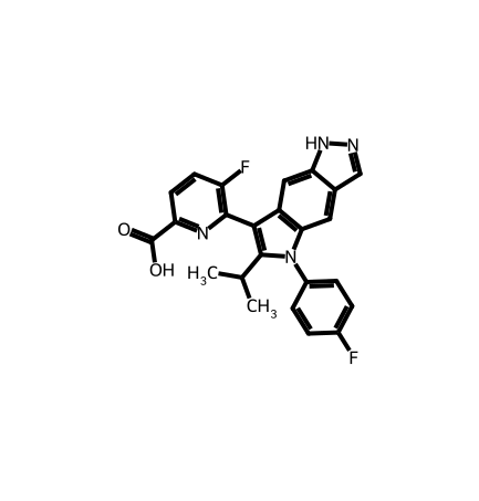 CC(C)c1c(-c2nc(C(=O)O)ccc2F)c2cc3[nH]ncc3cc2n1-c1ccc(F)cc1